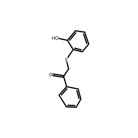 O=C(CSc1ccccc1O)c1ccccc1